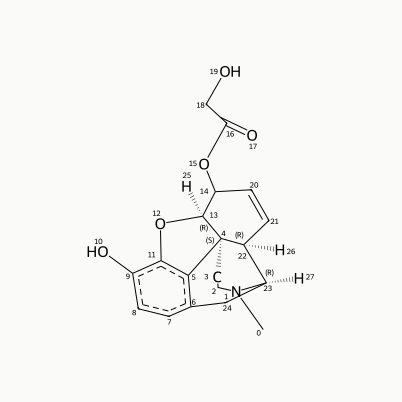 CN1CC[C@]23c4c5ccc(O)c4O[C@H]2C(OC(=O)CO)C=C[C@H]3[C@H]1C5